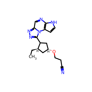 CC[C@@H]1C[C@@H](OCCC#N)CC1c1nnc2cnc3[nH]ccc3n12